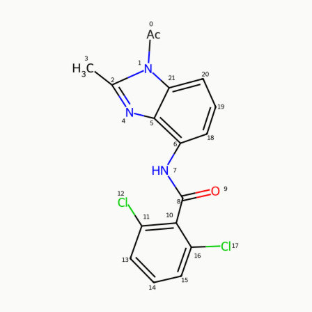 CC(=O)n1c(C)nc2c(NC(=O)c3c(Cl)cccc3Cl)cccc21